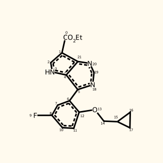 CCOC(=O)c1c[nH]c2c(-c3cc(F)ccc3OCC3CC3)ncnc12